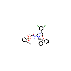 C[C@@H](OS(=O)(=O)c1ccccc1[N+](=O)[O-])C(=O)Nc1cn2c(n1)C(O[Si](c1ccccc1)(c1ccccc1)C(C)(C)C)CC2c1cc(F)cc(F)c1